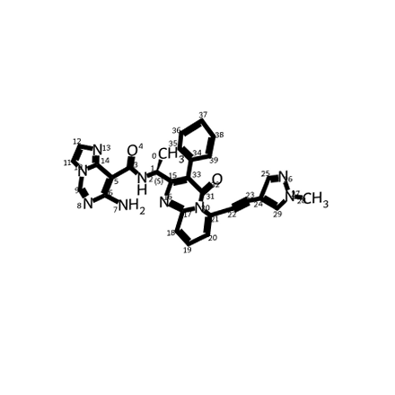 C[C@H](NC(=O)c1c(N)ncn2ccnc12)c1nc2cccc(C#Cc3cnn(C)c3)n2c(=O)c1-c1ccccc1